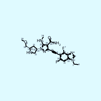 CCn1cnc2c(F)c(C#Cc3nn([C@@H]4CN[C@@H](COC)C4)c(NC)c3C(N)=O)c(F)cc21